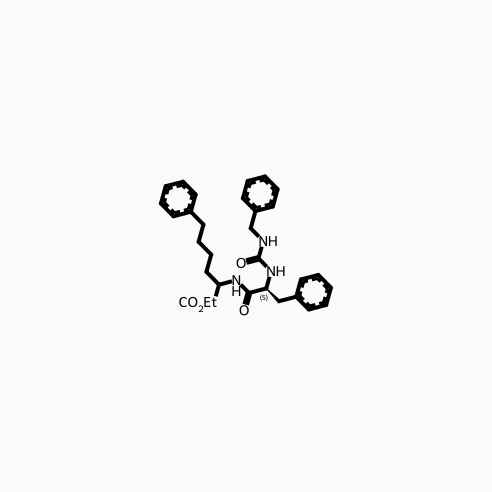 CCOC(=O)C(CCCCc1ccccc1)NC(=O)[C@H](Cc1ccccc1)NC(=O)NCc1ccccc1